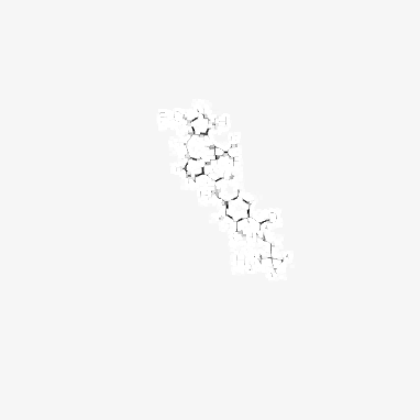 NC1(CNC(=O)c2ccc(NC(=O)c3ncc(Cc4c(C(F)(F)F)n[nH]c4[C@@H]4CC4(F)F)[nH]3)cc2Cl)CC1